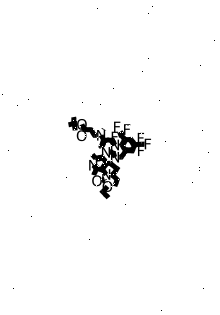 CCOC(=O)N1c2c(cc(C)nc2C)C(N(Cc2cc(C(F)(F)F)cc(C(F)(F)F)c2)c2ncc(N(C)CCC(=O)OC(C)(C)C)cn2)CC1CC